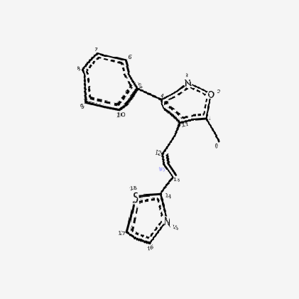 Cc1onc(-c2ccccc2)c1/C=C/c1nccs1